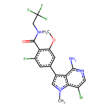 COc1cc(-c2cn(C)c3c(Br)cnc(N)c23)cc(F)c1C(=O)NCC(F)(F)F